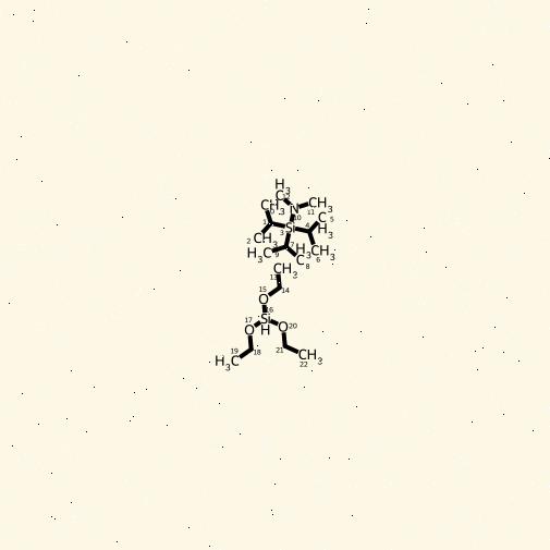 CC(C)[Si](C(C)C)(C(C)C)N(C)C.CCO[SiH](OCC)OCC